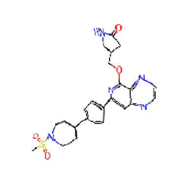 CS(=O)(=O)N1CCC(c2ccc(-c3cc4nccnc4c(OCC4CNC(=O)C4)n3)cc2)CC1